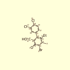 CCn1c(C)c(Br)c(=O)c(C(=O)O)c1-c1ccc(Cl)c(Cl)c1